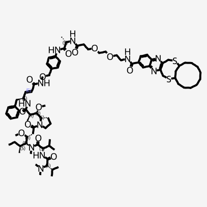 CC[C@H](C)[C@@H]([C@@H](CC(=O)N1CCC[C@H]1[C@H](OC)[C@@H](C)C(=O)N[C@H](/C=C/C(=O)NOCc1ccc(NC(=O)[C@H](C)NC(=O)CCOCCOCCNC(=O)c2ccc3nc4c(nc3c2)CSC2CCCCCCCCCC(C2)SC4)cc1)Cc1ccccc1)OC)N(C)C(=O)[C@@H](NC(=O)[C@H](C(C)C)N(C)C)C(C)C